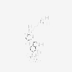 COC(=O)Nc1ccc2c(-c3nc(NCCCCN(C)C)ncc3C(F)(F)F)c[nH]c2c1Br